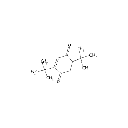 CC(C)(C)C1=CC(=O)C(C(C)(C)C)CC1=O